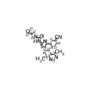 Cc1ncnc2c(C)cc(-c3sc(NC(=O)N4CC5(COC5)C4)nc3-c3cccc(C#N)c3)cc12